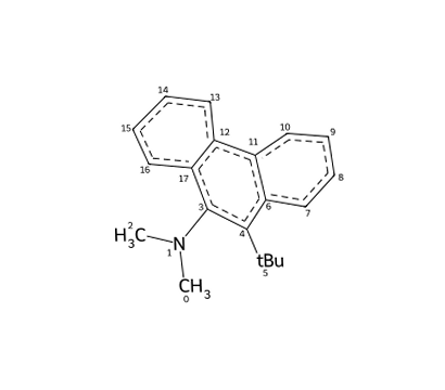 CN(C)c1c(C(C)(C)C)c2ccccc2c2ccccc12